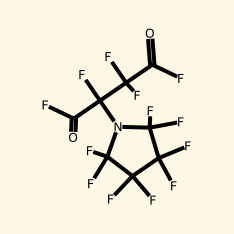 O=C(F)C(F)(F)C(F)(C(=O)F)N1C(F)(F)C(F)(F)C(F)(F)C1(F)F